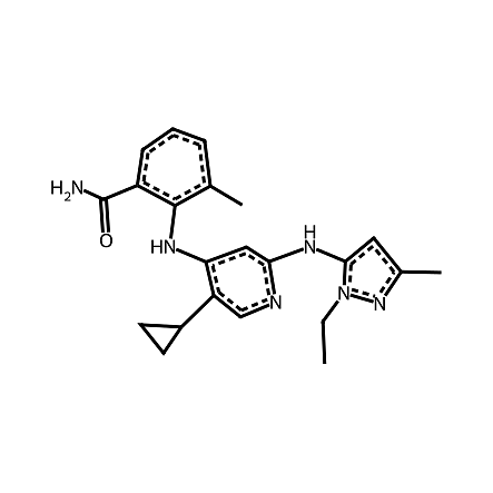 CCn1nc(C)cc1Nc1cc(Nc2c(C)cccc2C(N)=O)c(C2CC2)cn1